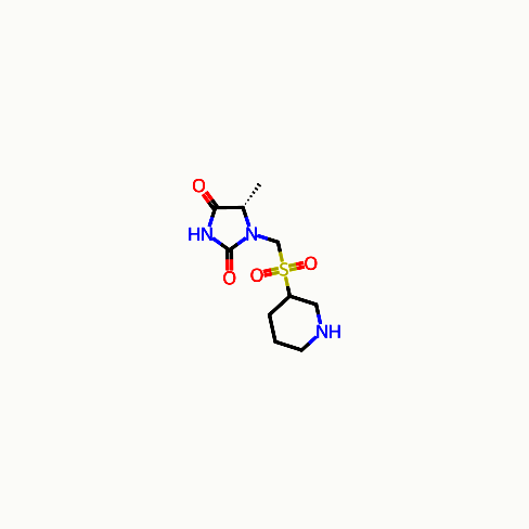 C[C@H]1C(=O)NC(=O)N1CS(=O)(=O)C1CCCNC1